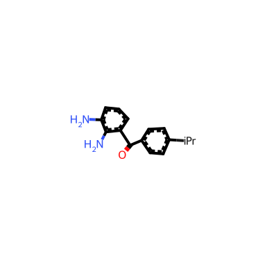 CC(C)c1ccc(C(=O)c2cccc(N)c2N)cc1